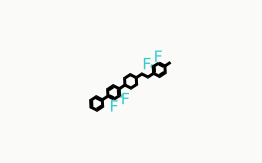 Cc1ccc(CCC2CCC(c3ccc(-c4ccccc4)c(F)c3F)CC2)c(F)c1F